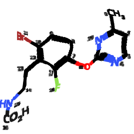 Cc1ccnc(Oc2ccc(Br)c(CCNC(=O)O)c2F)n1